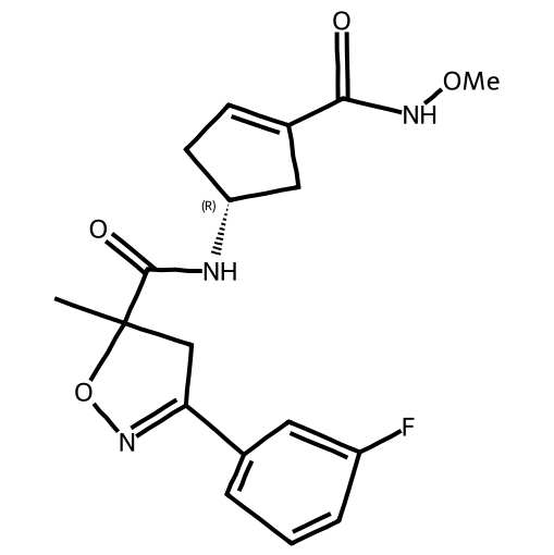 CONC(=O)C1=CC[C@@H](NC(=O)C2(C)CC(c3cccc(F)c3)=NO2)C1